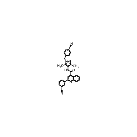 Cc1nn(Cc2ccc(C#N)cc2)c(C)c1NC(=O)c1cc(-c2cccc(C#N)c2)nc2ccccc12